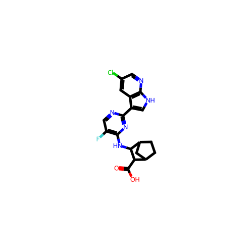 O=C(O)C1C2CCC(C2)C1Nc1nc(-c2c[nH]c3ncc(Cl)cc23)ncc1F